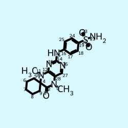 CN1C(=O)C2(CCCCC2)N(C)c2nc(Nc3ccc(S(N)(=O)=O)cc3)ncc21